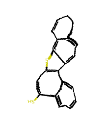 Sc1cc2sc3c4c(ccc3c2c2ccccc12)CCC=C4